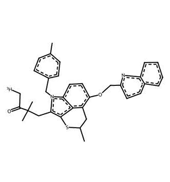 [3H]CC(=O)C(C)(C)Cc1c2c3c(c(OCc4ccc5ccccc5n4)ccc3n1Cc1ccc(C)cc1)CC(C)S2